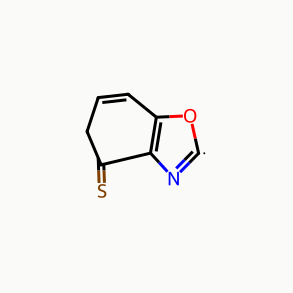 S=C1CC=Cc2o[c]nc21